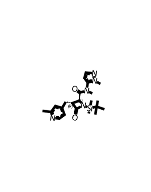 Cc1cc(C[C@H]2C(=O)N([Si](C)(C)C(C)(C)C)[C@@H]2C(=O)N(C)c2ccnn2C)ccn1